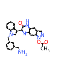 CC(=O)On1ncc2cc3[nH]c(=O)c(-c4cn(Cc5cccc(CN)c5)c5ccccc45)nc3cc21